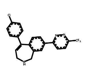 FC(F)(F)c1ccc(-c2ccc3c(c2)CNCC=C3c2ccc(Cl)cc2)nn1